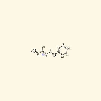 C/C(C=O)=C\COc1ccccc1